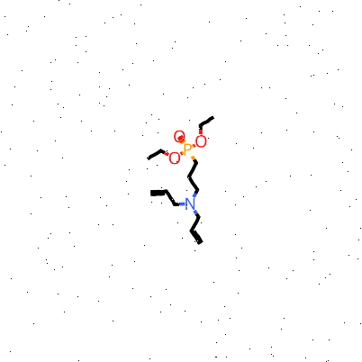 C=CCN(CC=C)CCCP(=O)(OCC)OCC